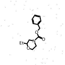 CCC1CN(C(=O)OCc2ccccc2)CCO1